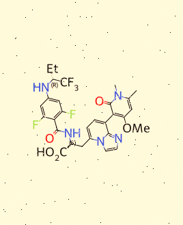 CC[C@@H](Nc1cc(F)c(C(=O)N[C@@H](Cc2ccc(-c3c(OC)cc(C)n(C)c3=O)c3nccn23)C(=O)O)c(F)c1)C(F)(F)F